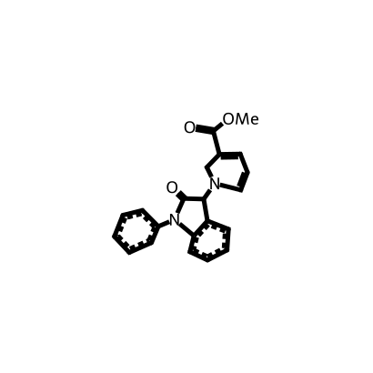 COC(=O)C1=CC=CN(C2C(=O)N(c3ccccc3)c3ccccc32)C1